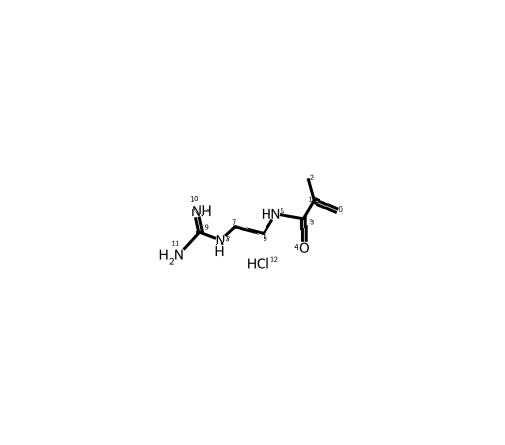 C=C(C)C(=O)NCCNC(=N)N.Cl